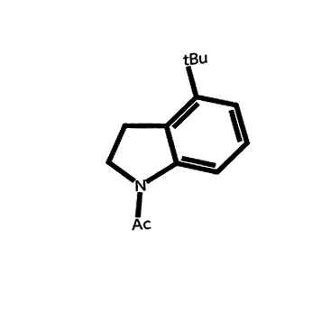 CC(=O)N1CCc2c1cccc2C(C)(C)C